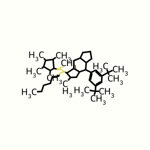 CCCCCCS(C)(C1C(C)C(C)C(C)C1C)C1C(C)CC2C1CC1CCCC1C2c1cc(C(C)(C)C)cc(C(C)(C)C)c1